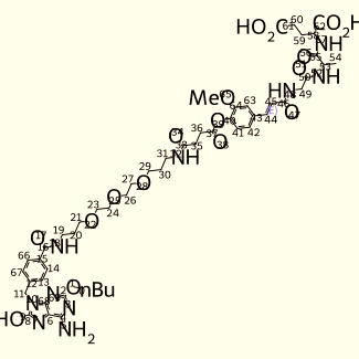 CCCCOc1nc(N)c2nc(O)n(Cc3ccc(C(=O)NCCCOCCOCCOCCCNC(=O)CCC(=O)Oc4ccc(/C=C/C(=O)NCC(=O)NC(C)C(=O)NC(CCC(=O)O)C(=O)O)cc4OC)cc3)c2n1